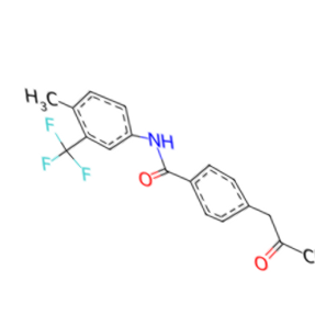 CC(=O)Cc1ccc(C(=O)Nc2ccc(C)c(C(F)(F)F)c2)cc1